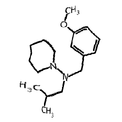 COc1cccc(CN(CC(C)C)N2CCCCC2)c1